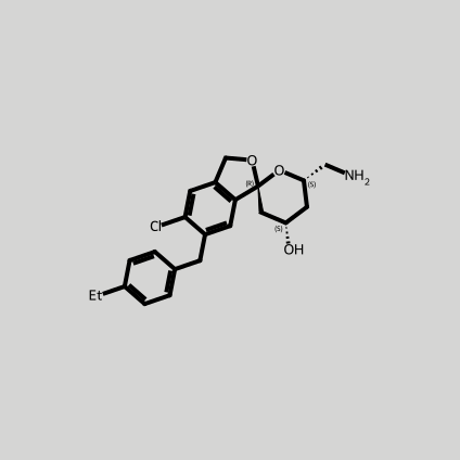 CCc1ccc(Cc2cc3c(cc2Cl)CO[C@@]32C[C@@H](O)C[C@@H](CN)O2)cc1